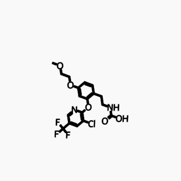 COCCOc1ccc(CCNC(=O)O)c(Oc2ncc(C(F)(F)F)cc2Cl)c1